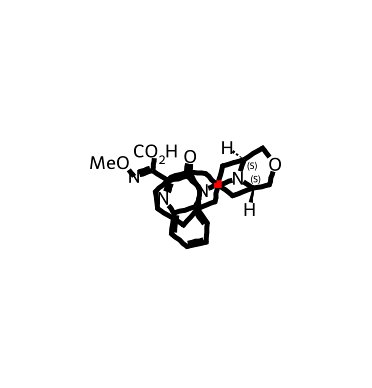 CON=C(C(=O)O)c1nc2ccccc2n(C2C[C@H]3COC[C@H](C2)N3C2CC3CCCCC(C3)C2)c1=O